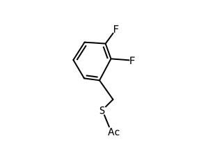 CC(=O)SCc1cccc(F)c1F